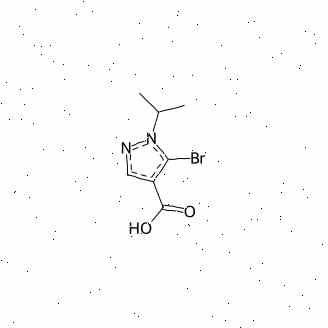 CC(C)n1ncc(C(=O)O)c1Br